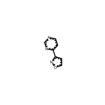 [c]1nccc(-c2ccon2)n1